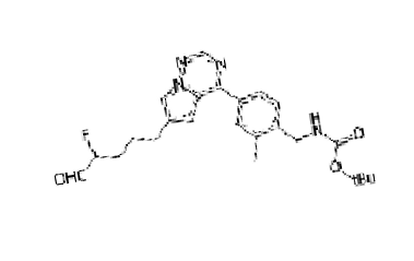 Cc1cc(-c2ncnn3cc(CCCC(F)C=O)cc23)ccc1CNC(=O)OC(C)(C)C